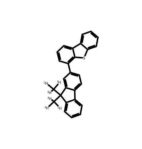 [2H]C([2H])([2H])C1(C([2H])([2H])[2H])c2ccccc2-c2ccc(-c3cccc4c3sc3ccccc34)cc21